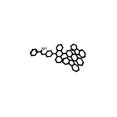 N=C(CC1CCC(C2C3CCCCC3C(C3CCC4C(C3)C3(C5CCCCC5C5CCCCC53)C3CCCCC3C43C4=CCCCC4C4CCCCC43)C3CCCCC32)CC1)C1=CC=CCC1